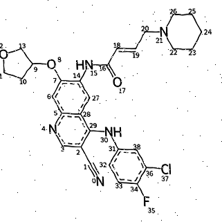 N#Cc1cnc2cc(OC3CCOC3)c(NC(=O)C=CCN3CCCCC3)cc2c1Nc1ccc(F)c(Cl)c1